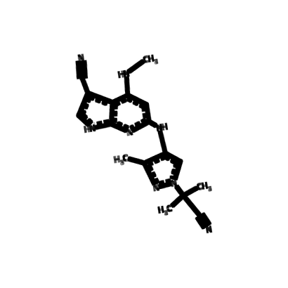 CNc1cc(Nc2cn(C(C)(C)C#N)nc2C)nc2[nH]cc(C#N)c12